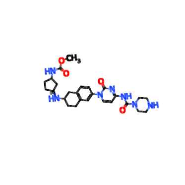 COC(=O)NC1CC[C@H](NC2CCc3cc(-n4ccc(NC(=O)N5CCNCC5)nc4=O)ccc3C2)C1